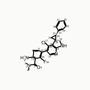 CN(C)C(=O)c1c(N)ccc(-c2cnc3c(c2Cl)[C@@]2(CN3)C[C@H]2c2ccccc2)c1F